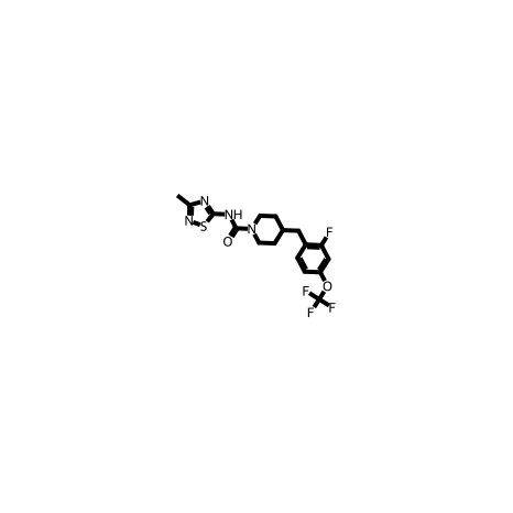 Cc1nsc(NC(=O)N2CCC(Cc3ccc(OC(F)(F)F)cc3F)CC2)n1